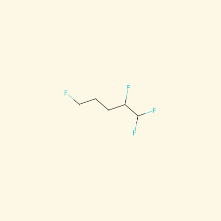 F[CH]CCC(F)C(F)F